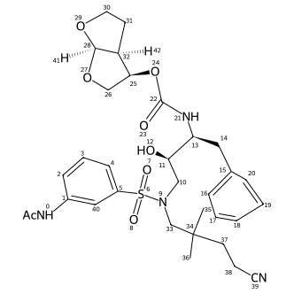 CC(=O)Nc1cccc(S(=O)(=O)N(C[C@@H](O)[C@H](Cc2ccccc2)NC(=O)O[C@H]2CO[C@H]3OCC[C@H]32)CC(C)(C)CCC#N)c1